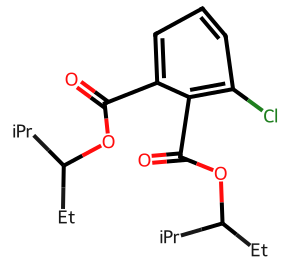 CCC(OC(=O)c1cccc(Cl)c1C(=O)OC(CC)C(C)C)C(C)C